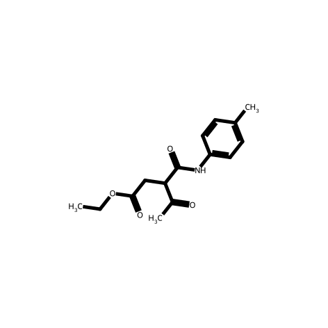 CCOC(=O)CC(C(C)=O)C(=O)Nc1ccc(C)cc1